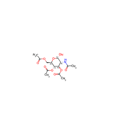 CC(=O)N[C@@H]1[C@@H](OC(C)=O)[C@H](OC(C)=O)[C@@H](COC(C)=O)O[C@@H]1O